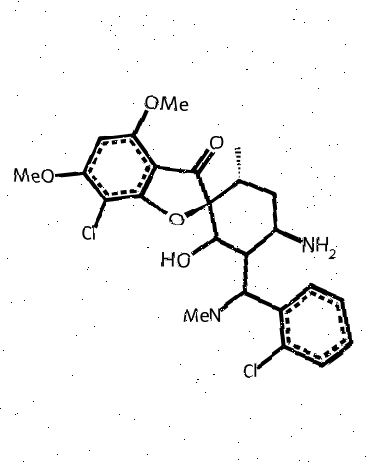 CNC(c1ccccc1Cl)C1C(N)C[C@@H](C)[C@]2(Oc3c(Cl)c(OC)cc(OC)c3C2=O)C1O